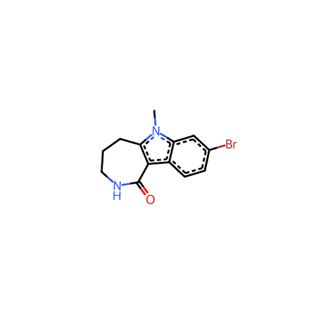 Cn1c2c(c3ccc(Br)cc31)C(=O)NCCC2